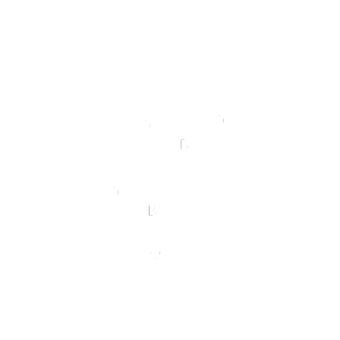 c1ccc2c(c1)Oc1cccc3c1B2c1cc2c(cc1O3)Oc1cccc3c1B2c1ccccc1O3